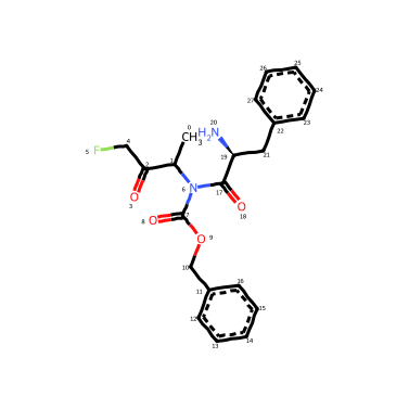 CC(C(=O)CF)N(C(=O)OCc1ccccc1)C(=O)[C@@H](N)Cc1ccccc1